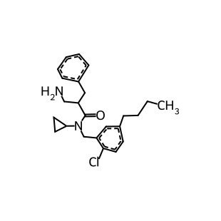 CCCCc1ccc(Cl)c(CN(C(=O)C(CN)Cc2ccccc2)C2CC2)c1